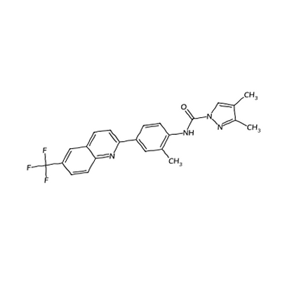 Cc1cc(-c2ccc3cc(C(F)(F)F)ccc3n2)ccc1NC(=O)n1cc(C)c(C)n1